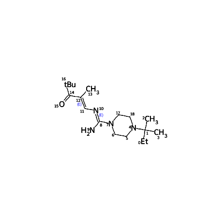 CCC(C)(C)N1CCN(/C(N)=N/C=C(\C)C(=O)C(C)(C)C)CC1